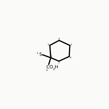 O=C(O)C1([S])CCCCC1